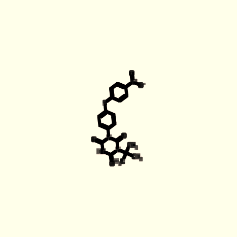 CC(C)(C)n1c(=O)[nH]c(=O)n(-c2ccc(Sc3ccc([N+](=O)[O-])cc3)cc2)c1=O